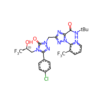 CC(C)(C)NC(=O)c1nc(Cn2nc(-c3ccc(Cl)cc3)n(C[C@H](O)C(F)(F)F)c2=O)nn1-c1ncccc1C(F)(F)F